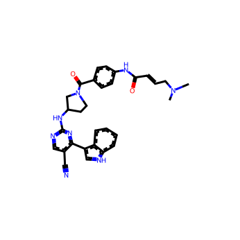 CN(C)CC=CC(=O)Nc1ccc(C(=O)N2CCC(Nc3ncc(C#N)c(-c4c[nH]c5ccccc45)n3)C2)cc1